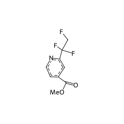 COC(=O)c1ccnc(C(F)(F)CF)c1